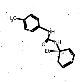 CC[C@@]1(NC(=O)Nc2ccc(C)cc2)C=CC=CC1